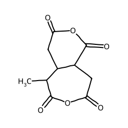 CC1C(=O)OC(=O)CC2C(=O)OC(=O)CC12